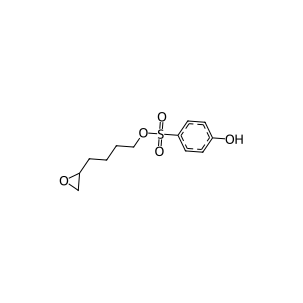 O=S(=O)(OCCCCC1CO1)c1ccc(O)cc1